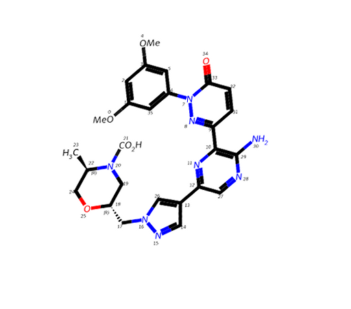 COc1cc(OC)cc(-n2nc(-c3nc(-c4cnn(C[C@H]5CN(C(=O)O)[C@H](C)CO5)c4)cnc3N)ccc2=O)c1